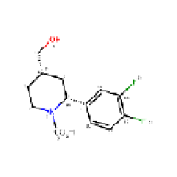 O=C(O)N1CC[C@H](CO)C[C@@H]1c1ccc(F)c(F)c1